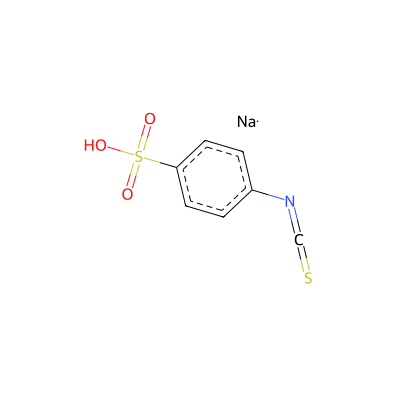 O=S(=O)(O)c1ccc(N=C=S)cc1.[Na]